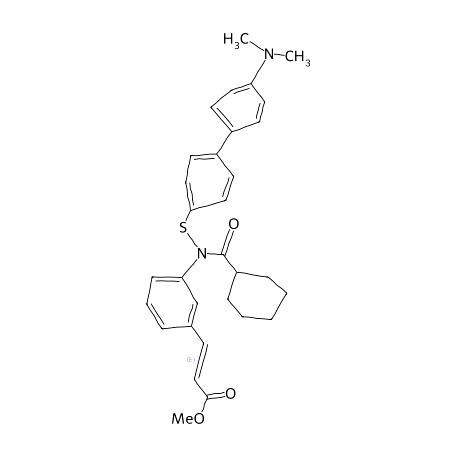 COC(=O)/C=C/c1cccc(N(Sc2ccc(-c3ccc(N(C)C)cc3)cc2)C(=O)C2CCCCC2)c1